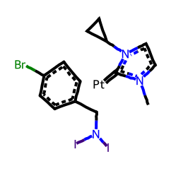 Brc1ccc(CN(I)I)cc1.Cn1ccn(C2CC2)[c]1=[Pt]